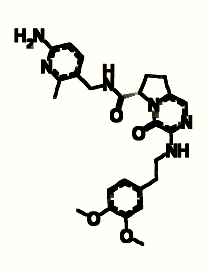 COc1ccc(CCNc2ncc3n(c2=O)[C@H](C(=O)NCc2ccc(N)nc2C)CC3)cc1OC